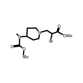 COC(=O)C(Br)CN1CCC(N(C)C(=O)OC(C)(C)C)CC1